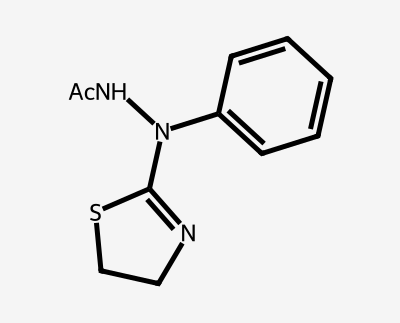 CC(=O)NN(C1=NCCS1)c1ccccc1